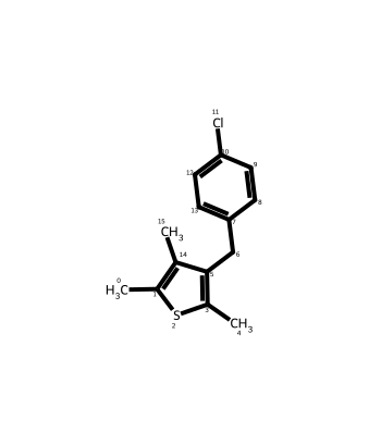 Cc1sc(C)c(Cc2ccc(Cl)cc2)c1C